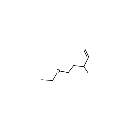 C=CC(C)CCO[CH]C